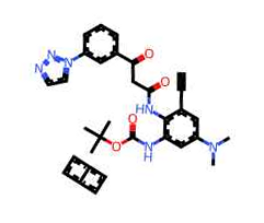 C#Cc1cc(N(C)C)cc(NC(=O)OC(C)(C)C)c1NC(=O)CC(=O)c1cccc(-n2ccnn2)c1.c1cc2ccc1-2